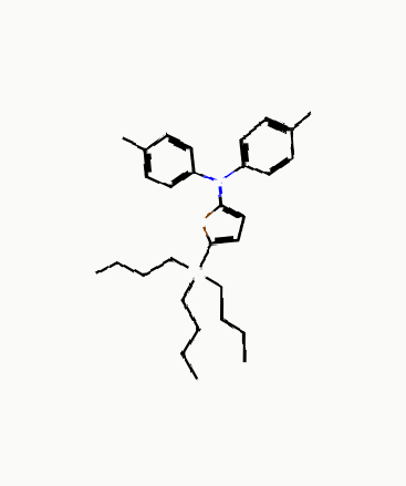 CCC[CH2][Sn]([CH2]CCC)([CH2]CCC)[c]1ccc(N(c2ccc(C)cc2)c2ccc(C)cc2)s1